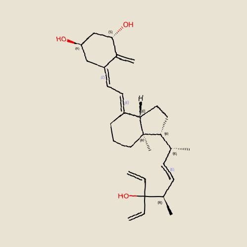 C=CC(O)(C=C)[C@H](C)/C=C/[C@@H](C)[C@H]1CC[C@H]2/C(=C/C=C3/C[C@@H](O)C[C@H](O)C3=C)CCC[C@]12C